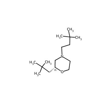 CC(C)(C)CCN1CCO[C@H](CC(C)(C)C)C1